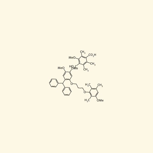 COc1c(C)c(C(=O)O)c(C)c(C)c1C(=O)O.COc1cc(OCCCOc2c(C)c(C)cc(OC)c2C)c(C(c2ccccc2)c2ccccc2)cc1OC